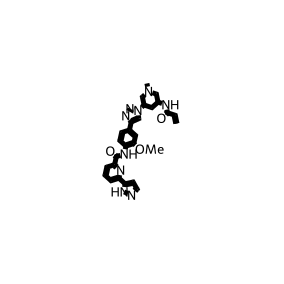 C=CC(=O)NC1CC(n2cc(-c3ccc(NC(=O)c4cccc(-c5ccn[nH]5)n4)c(OC)c3)nn2)CN(C)C1